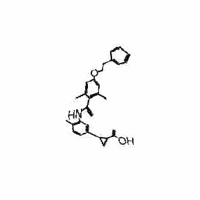 C=C(Nc1cc(C2CC2C(=C)O)ccc1C)c1c(C)cc(OCCc2ccccc2)cc1C